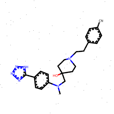 CN(CC1(O)CCN(CCc2ccc(C#N)cc2)CC1)c1ccc(-c2nnn[nH]2)cc1